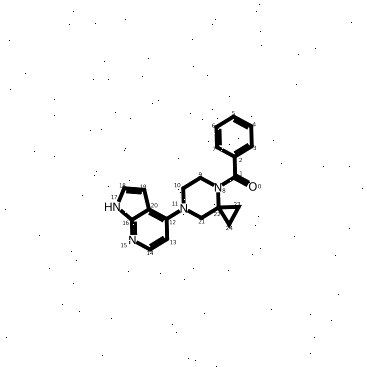 O=C(c1ccccc1)N1CCN(c2ccnc3[nH]ccc23)CC12CC2